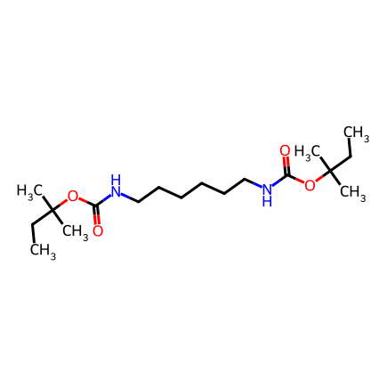 CCC(C)(C)OC(=O)NCCCCCCNC(=O)OC(C)(C)CC